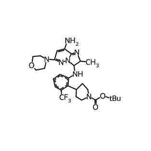 CC1N=C2C(N)=CC(N3CCOCC3)=NN2C1Nc1cccc(C(F)(F)F)c1C1CCN(C(=O)OC(C)(C)C)CC1